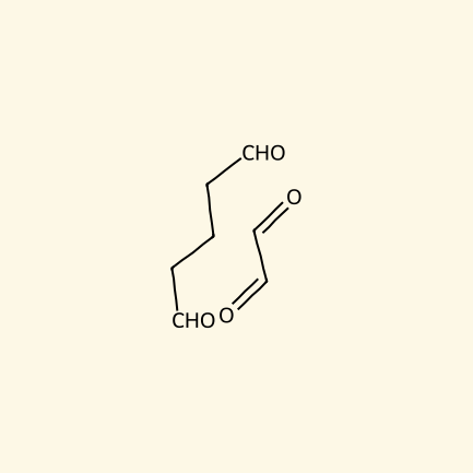 O=CC=O.O=CCCCC=O